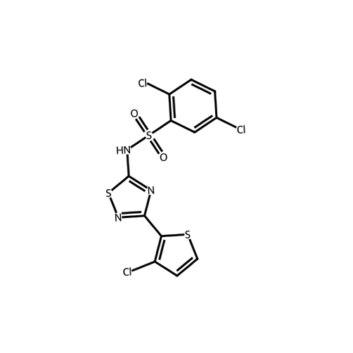 O=S(=O)(Nc1nc(-c2sccc2Cl)ns1)c1cc(Cl)ccc1Cl